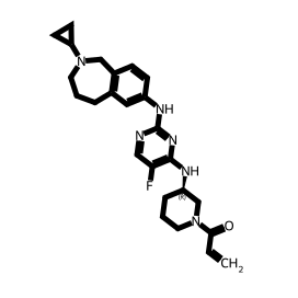 C=CC(=O)N1CCC[C@@H](Nc2nc(Nc3ccc4c(c3)CCCN(C3CC3)C4)ncc2F)C1